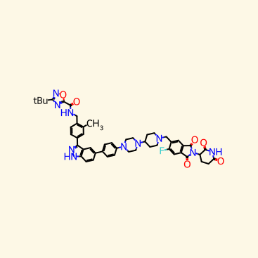 Cc1cc(-c2n[nH]c3ccc(-c4ccc(N5CCN(C6CCN(Cc7cc8c(cc7F)C(=O)N(C7CCC(=O)NC7=O)C8=O)CC6)CC5)cc4)cc23)ccc1CNC(=O)c1nc(C(C)(C)C)no1